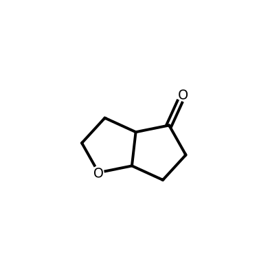 O=C1CCC2OCCC12